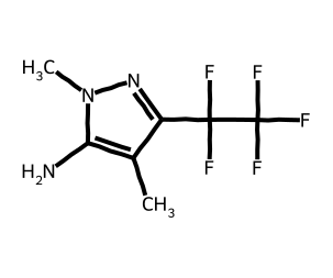 Cc1c(C(F)(F)C(F)(F)F)nn(C)c1N